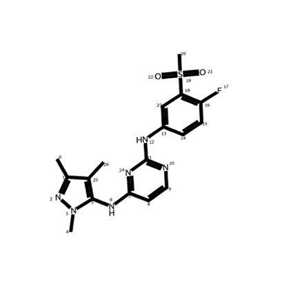 Cc1nn(C)c(Nc2ccnc(Nc3ccc(F)c(S(C)(=O)=O)c3)n2)c1C